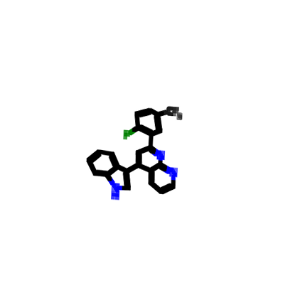 Fc1ccc(C(F)(F)F)cc1-c1cc(-c2c[nH]c3ccccc23)c2cccnc2n1